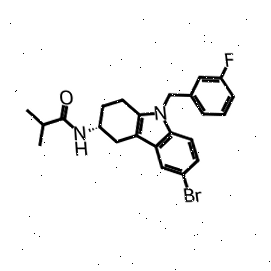 CC(C)C(=O)N[C@@H]1CCc2c(c3cc(Br)ccc3n2Cc2cccc(F)c2)C1